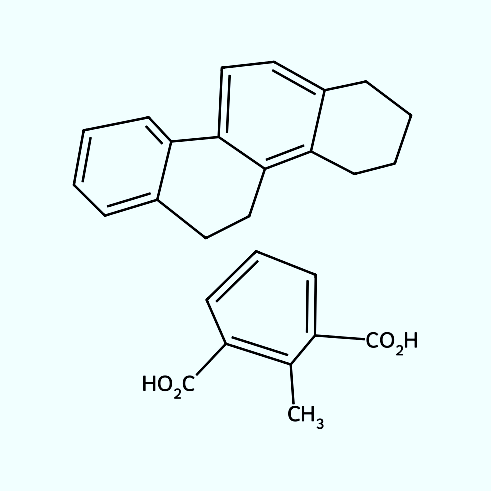 Cc1c(C(=O)O)cccc1C(=O)O.c1ccc2c(c1)CCc1c-2ccc2c1CCCC2